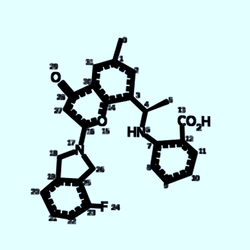 Cc1cc([C@@H](C)Nc2ccccc2C(=O)O)c2oc(N3Cc4cccc(F)c4C3)cc(=O)c2c1